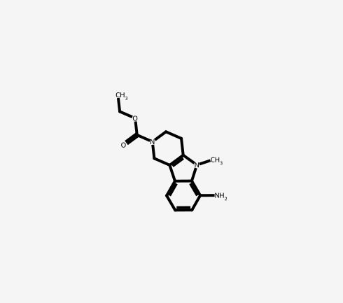 CCOC(=O)N1CCc2c(c3cccc(N)c3n2C)C1